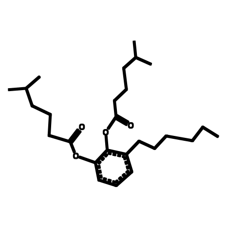 CCCCCCc1cccc(OC(=O)CCCC(C)C)c1OC(=O)CCCC(C)C